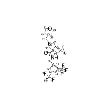 O=C(NCc1cc(C(F)(F)F)cc(C(F)(F)F)c1)C1(CC2CC2)CCN(CC2CCOCC2)C1